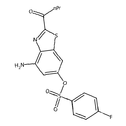 CCCC(=O)c1nc2c(N)cc(OS(=O)(=O)c3ccc(F)cc3)cc2s1